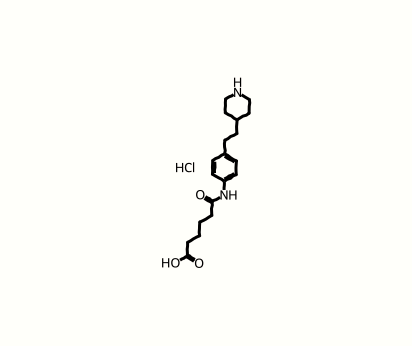 Cl.O=C(O)CCCCC(=O)Nc1ccc(CCC2CCNCC2)cc1